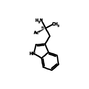 CC(=O)[C@@](C)(N)Cc1c[nH]c2ccccc12